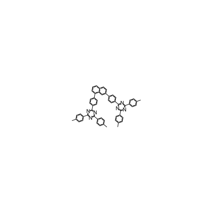 Cc1ccc(-c2nc(-c3ccc(C)cc3)nc(-c3ccc(-c4ccc5cccc(-c6ccc(-c7nc(-c8ccc(C)cc8)nc(-c8ccc(C)cc8)n7)cc6)c5c4)cc3)n2)cc1